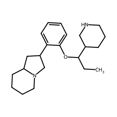 CCC(Oc1ccccc1C1CC2CCCCN2C1)C1CCCNC1